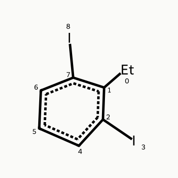 [CH2]Cc1c(I)cccc1I